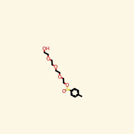 Cc1ccc(S(=O)OCCOCCOCCOCCO)cc1